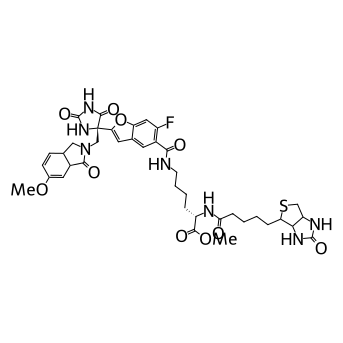 COC(=O)[C@H](CCCCNC(=O)c1cc2cc([C@]3(CN4CC5C=CC(OC)=CC5C4=O)NC(=O)NC3=O)oc2cc1F)NC(=O)CCCCC1SCC2NC(=O)NC21